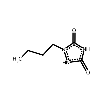 CCCCn1[nH]c(=O)[nH]c1=O